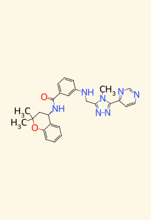 Cn1c(CNc2cccc(C(=O)N[C@@H]3CC(C)(C)Oc4ccccc43)c2)nnc1-c1ccncn1